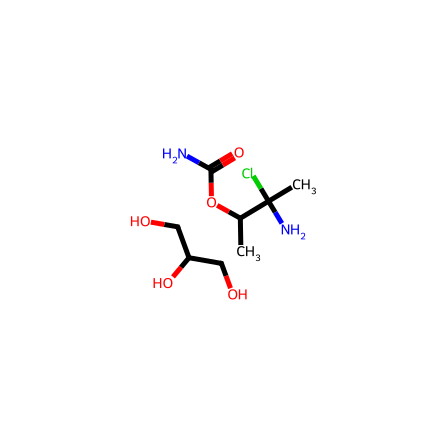 CC(OC(N)=O)C(C)(N)Cl.OCC(O)CO